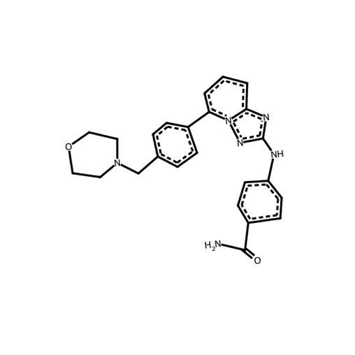 NC(=O)c1ccc(Nc2nc3cccc(-c4ccc(CN5CCOCC5)cc4)n3n2)cc1